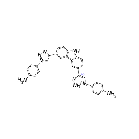 N=N/C(=C\Nc1ccc(N)cc1)c1ccc2[nH]c3ccc(-c4cn(-c5ccc(N)cc5)nn4)cc3c2c1